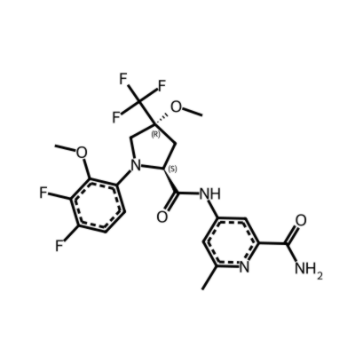 COc1c(N2C[C@@](OC)(C(F)(F)F)C[C@H]2C(=O)Nc2cc(C)nc(C(N)=O)c2)ccc(F)c1F